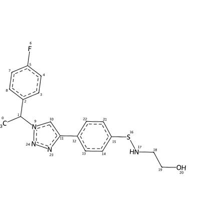 CC(c1ccc(F)cc1)n1cc(-c2ccc(SNCCO)cc2)nn1